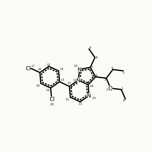 CCOC(CC)c1c(CC)nn2c(-c3ccc(Cl)cc3Cl)ccnc12